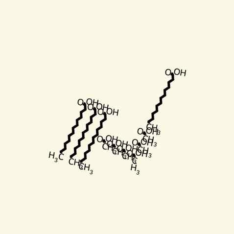 CC(=O)O.CC(=O)O.CC(=O)O.CC(=O)O.CC(=O)O.CC(=O)O.CCCCCCCCCCCCCC(=O)O.CCCCCCCCCCCCCC(=O)O.CCCCCCCCCCCCCC(=O)O.CCCCCCCCCCCCCC(=O)O